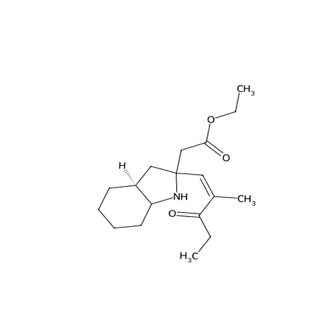 CCOC(=O)CC1(/C=C(/C)C(=O)CC)C[C@@H]2CCCCC2N1